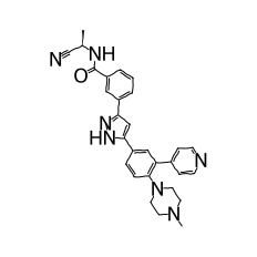 C[C@H](C#N)NC(=O)c1cccc(-c2cc(-c3ccc(N4CCN(C)CC4)c(-c4ccncc4)c3)[nH]n2)c1